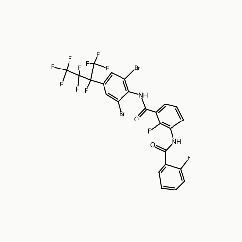 O=C(Nc1cccc(C(=O)Nc2c(Br)cc(C(F)(C(F)(F)F)C(F)(F)C(F)(F)F)cc2Br)c1F)c1ccccc1F